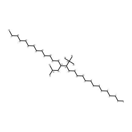 CCCCCCCCCCCCCCC([C](CCCCCCCCCCCCC)CC(C)C)C(C)(C)C